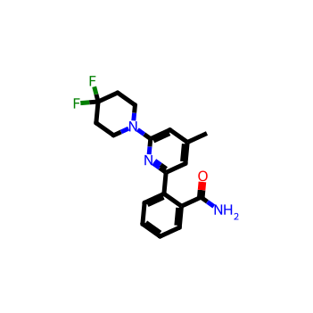 Cc1cc(-c2ccccc2C(N)=O)nc(N2CCC(F)(F)CC2)c1